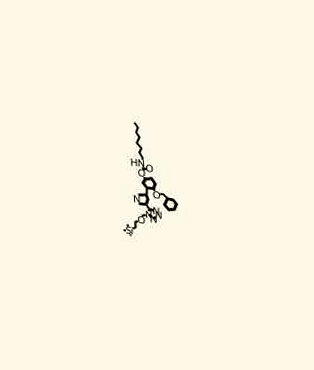 CCCCCCCCNC(=O)Oc1ccc(OCc2ccccc2)c(-c2cncc(-c3nnnn3COCC[Si](C)(C)C)c2)c1